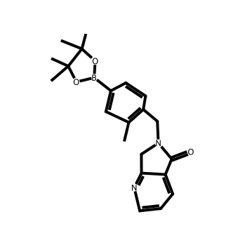 Cc1cc(B2OC(C)(C)C(C)(C)O2)ccc1CN1Cc2ncccc2C1=O